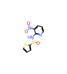 O=[N+]([O-])c1cccnc1N[S+]([O-])c1cccs1